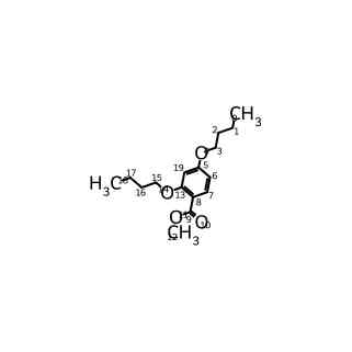 CCCCOc1ccc(C(=O)OC)c(OCCCC)c1